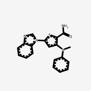 CN(c1ccccc1)c1cc(-n2cnc3ccccc32)sc1C(N)=O